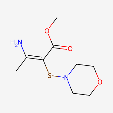 COC(=O)/C(SN1CCOCC1)=C(/C)N